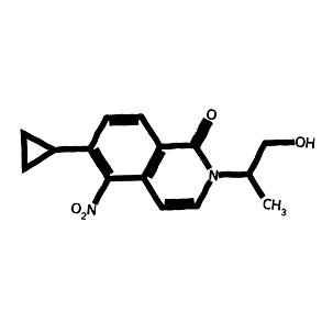 CC(CO)n1ccc2c([N+](=O)[O-])c(C3CC3)ccc2c1=O